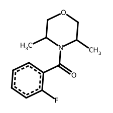 CC1COCC(C)N1C(=O)c1ccccc1F